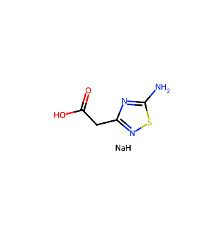 Nc1nc(CC(=O)O)ns1.[NaH]